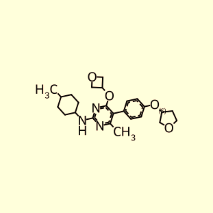 Cc1nc(NC2CCC(C)CC2)nc(OC2COC2)c1-c1ccc(O[C@H]2CCOC2)cc1